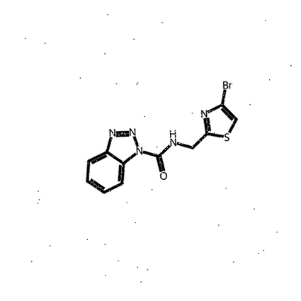 O=C(NCc1nc(Br)cs1)n1nnc2ccccc21